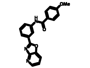 COc1ccc(C(=O)Nc2cccc(-c3nc4ncccc4o3)c2)cc1